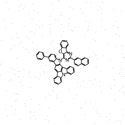 c1ccc(-c2ccc3c(c2)c2cc4c5ccccc5n5c6ccccc6c(c2n3-c2nc(-c3ccc6ccccc6c3)nc3c2oc2ccccc23)c45)cc1